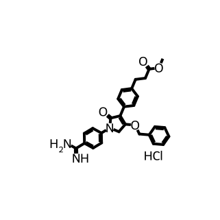 COC(=O)CCc1ccc(C2=C(OCc3ccccc3)CN(c3ccc(C(=N)N)cc3)C2=O)cc1.Cl